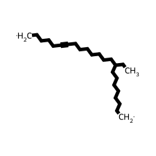 [CH2]CCCCC#CCCCCCCCC(CC)CCCCCCC[CH2]